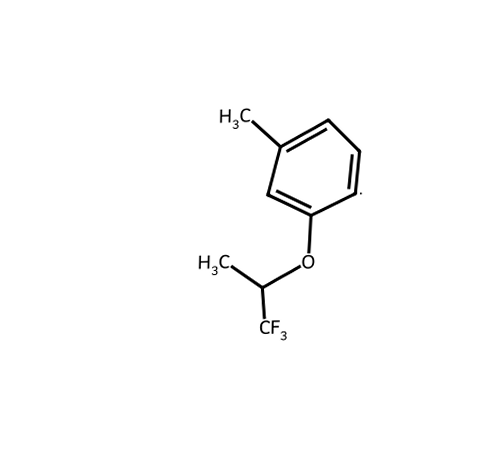 Cc1cc[c]c(OC(C)C(F)(F)F)c1